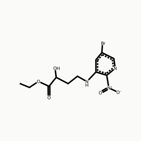 CCOC(=O)C(O)CCNc1cc(Br)cnc1[N+](=O)[O-]